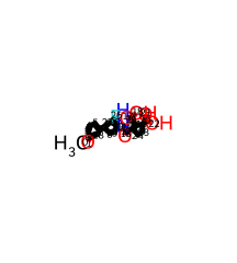 COc1cccc(-c2ccc(NC(=O)C3=C(C(=O)O)C(C(=O)O)CC3)c(F)c2)c1